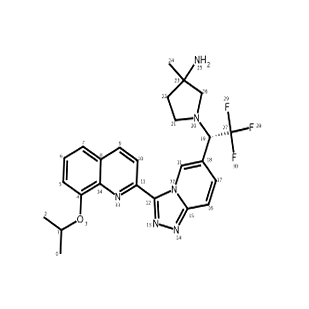 CC(C)Oc1cccc2ccc(-c3nnc4ccc([C@H](N5CCC(C)(N)C5)C(F)(F)F)cn34)nc12